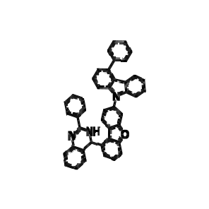 c1ccc(C2=Nc3ccccc3C(c3cccc4oc5cc(-n6c7ccccc7c7c(-c8ccccc8)cccc76)ccc5c34)N2)cc1